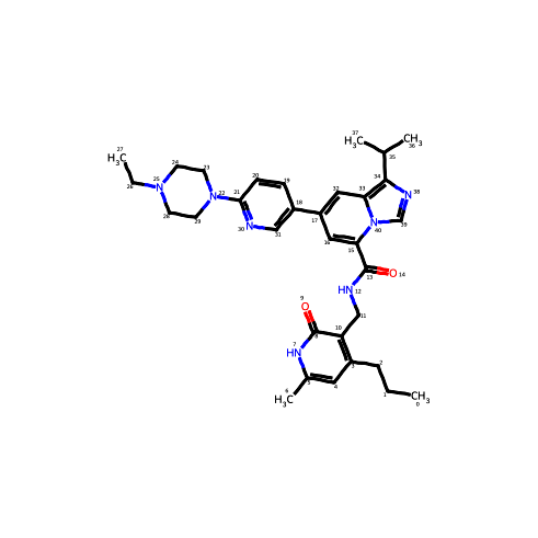 CCCc1cc(C)[nH]c(=O)c1CNC(=O)c1cc(-c2ccc(N3CCN(CC)CC3)nc2)cc2c(C(C)C)ncn12